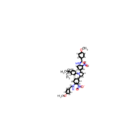 COc1ccc(CNc2ccc(C3CCC(c4ccc(NCc5ccc(OC)cc5)c([N+](=O)[O-])c4)N3c3ccc(C(C)(C)C)cc3)cc2[N+](=O)[O-])cc1